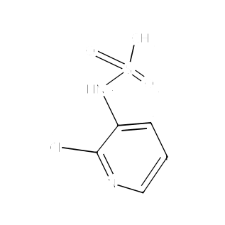 CS(=O)(=O)Nc1c[c]cnc1Cl